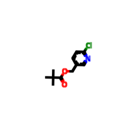 CC(C)(C)C(=O)OCc1ccc(Cl)nc1